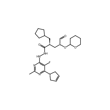 Cc1nc(NNC(=O)[C@@H](CC2CCCC2)CN(C=O)OC2CCCCO2)c(F)c(N2CC=CC2)n1